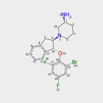 N[C@H]1CCCN([C@@H]2Cc3ccccc3[C@H]2Oc2c(F)cc(F)cc2Br)C1